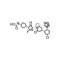 CN(C(=O)O)c1ccc(-c2[nH]c([C@@H]3CCc4cc(-c5cc(Cl)ccc5-n5cnnn5)cc(=O)n43)nc2F)cc1